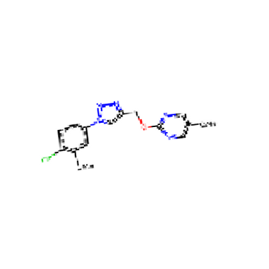 COc1cnc(OCc2cn(-c3ccc(Cl)c(OC)c3)nn2)nc1